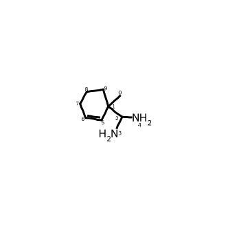 CC1(C(N)N)C=CCCC1